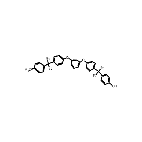 CCC(CC)(c1ccc(C)cc1)c1ccc(Oc2cccc(Oc3ccc(C(CC)(CC)c4ccc(O)cc4)cc3)c2)cc1